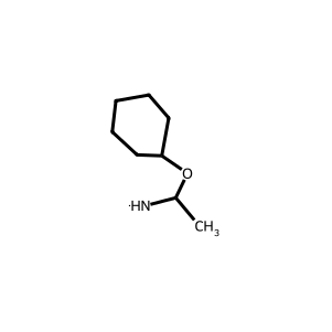 CC([NH])OC1CCCCC1